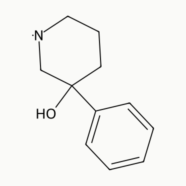 OC1(c2ccccc2)CCC[N]C1